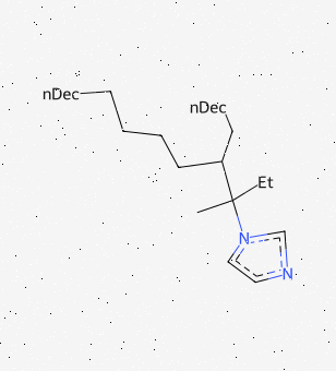 CCCCCCCCCCCCCCC(CCCCCCCCCCC)C(C)(CC)n1ccnc1